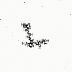 CCP(=O)(O)OCC1O[C@@H](n2cc(/C=C/C(=O)NCCNc3ncnc4[nH]cnc34)c3c(N)ncnc32)C[C@H]1OC